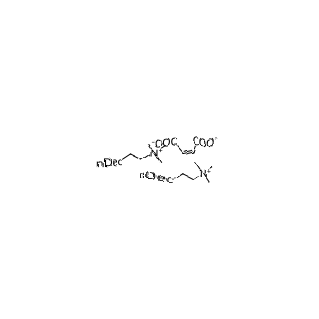 CCCCCCCCCCCC[N+](C)(C)C.CCCCCCCCCCCC[N+](C)(C)C.O=C([O-])/C=C\C(=O)[O-]